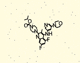 Cc1c(N2CCN(C(=O)OC(C)C)CC2)nc2cc(F)cc(F)c2c1Nc1cncc(N2CCOCC2)c1